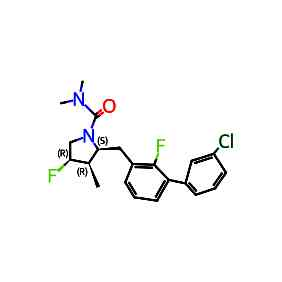 C[C@H]1[C@@H](F)CN(C(=O)N(C)C)[C@H]1Cc1cccc(-c2cccc(Cl)c2)c1F